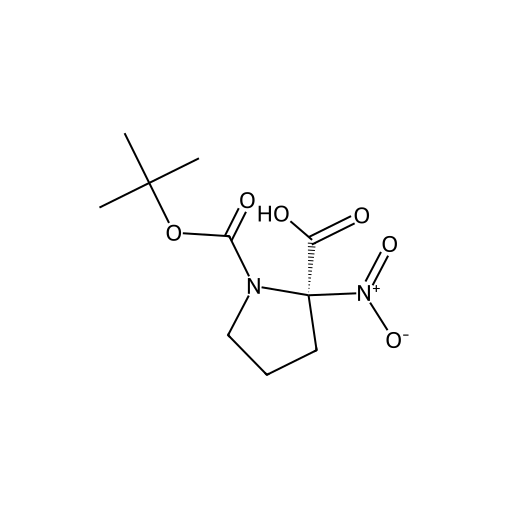 CC(C)(C)OC(=O)N1CCC[C@]1(C(=O)O)[N+](=O)[O-]